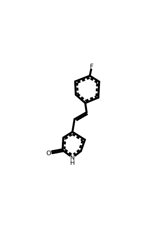 O=c1cc(C=Cc2ccc(F)cc2)cc[nH]1